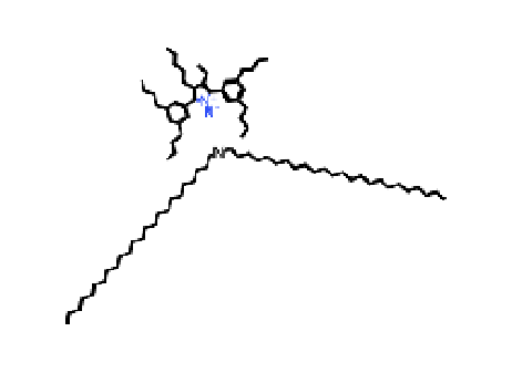 CCCCCC1=C(c2cc(CCCC)cc(CCCC)c2)[N+](=[N-])C(c2cc(CCCC)cc(CCCC)c2)=C1CC.CCCCCCCCCCCCCCCCCCCCCCC[CH2][Ni][CH2]CCCCCCCCCCCCCCCCCCCCCCC